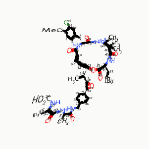 COc1ccc(C[C@H]2NC(=O)/C=C/C[C@@H](C(C)[C@H]3O[C@@H]3c3ccc(CNC(=O)C(C)NC(=O)C(NC(=O)O)C(C)C)cc3)OC(=O)[C@H](CC(C)(C)C)NC(=O)C(C)(C)C(C)NC2=O)cc1Cl